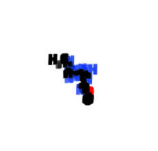 Cc1cn(-c2ccnc3[nH]c(-c4n[nH]c5cnc(-c6cncc(OC7CCCCC7)c6)cc45)nc23)cn1